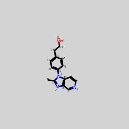 Cc1nc2cnccc2n1-c1ccc(CCO)cc1